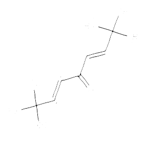 CC(C)(C)C=CC(=O)/C=C/C(C)(C)C